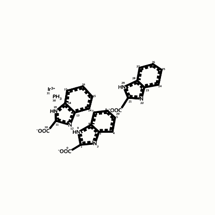 O=C([O-])c1nc2ccccc2[nH]1.O=C([O-])c1nc2ccccc2[nH]1.O=C([O-])c1nc2ccccc2[nH]1.P.[Ir+3]